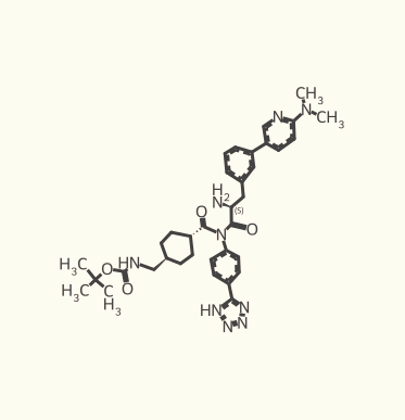 CN(C)c1ccc(-c2cccc(C[C@H](N)C(=O)N(c3ccc(-c4nnn[nH]4)cc3)C(=O)[C@H]3CC[C@H](CNC(=O)OC(C)(C)C)CC3)c2)cn1